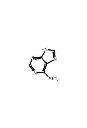 [AsH2]c1ncnc2[nH]cnc12